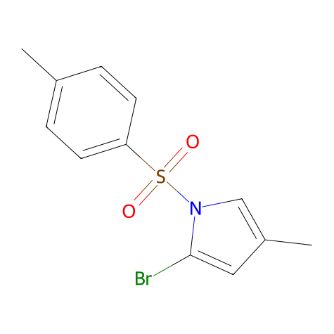 Cc1ccc(S(=O)(=O)n2cc(C)cc2Br)cc1